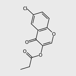 CCC(=O)Oc1coc2ccc(Cl)cc2c1=O